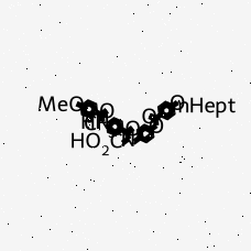 CCCCCCCOc1ccc(C(=O)OC2=C=C=C(CN(CC(=O)O)C(=O)c3ccc(NC(=O)c4ccc(OC)cc4C(F)(F)F)cc3)C=C2)cc1